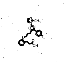 Cc1nccn1-c1nc(-c2ccc(Cl)cc2)c(CCCOc2ccccc2CCC(=O)O)o1